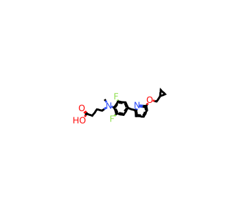 CN(CCCC(=O)O)c1c(F)cc(-c2cccc(OCC3CC3)n2)cc1F